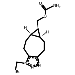 CC(C)(C)Cn1nnc2c1CC[C@@H]1[C@H](CC2)[C@@H]1COC(N)=O